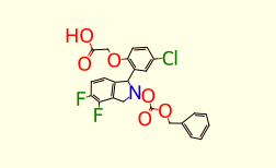 O=C(O)COc1ccc(Cl)cc1C1c2ccc(F)c(F)c2CN1OC(=O)OCc1ccccc1